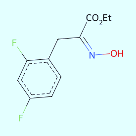 CCOC(=O)C(Cc1ccc(F)cc1F)=NO